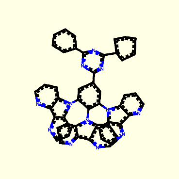 c1ccc(-c2nc(-c3ccccc3)nc(-c3cc(-n4c5cccnc5c5ncccc54)c(-n4c5cccnc5c5ncccc54)c(-n4c5cccnc5c5ncccc54)c3)n2)cc1